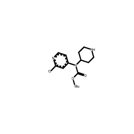 CC(C)(C)OC(=O)N(c1ccnc(Cl)c1)C1CCNCC1